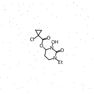 CCN1CCC(OC(=O)C2(Cl)CC2)N(O)C1=O